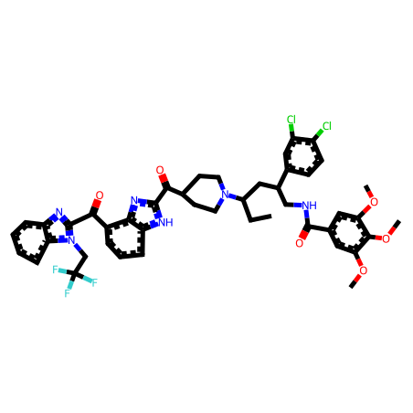 CCC(CC(CNC(=O)c1cc(OC)c(OC)c(OC)c1)c1ccc(Cl)c(Cl)c1)N1CCC(C(=O)c2nc3c(C(=O)c4nc5ccccc5n4CC(F)(F)F)cccc3[nH]2)CC1